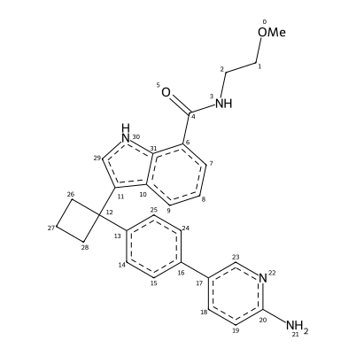 COCCNC(=O)c1cccc2c(C3(c4ccc(-c5ccc(N)nc5)cc4)CCC3)c[nH]c12